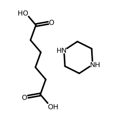 C1CNCCN1.O=C(O)CCCCC(=O)O